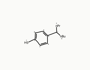 CCCCC(CCC)c1ccc(S)cc1